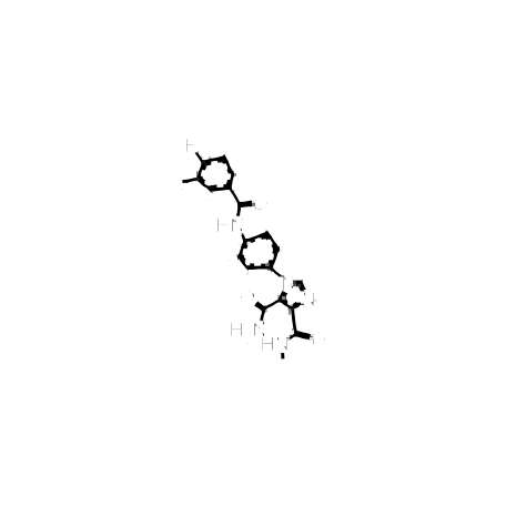 CNC(=O)c1ncn(-c2ccc(NC(=O)c3ccc(F)c(C)c3)cc2)c1C(N)=O